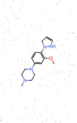 COc1cc(N2CCN(C)CC2)ccc1N1CC=CN1